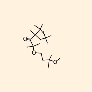 COC(C)(C)CCOC(C)(C)C(=O)C(C)(CC(C)(C)C)C(C)(C)C